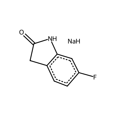 O=C1Cc2ccc(F)cc2N1.[NaH]